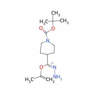 C=C(C)O/C(=N\N)C1CCN(C(=O)OC(C)(C)C)CC1